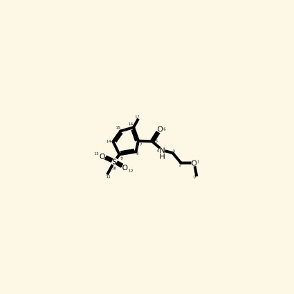 COCCNC(=O)c1cc(S(C)(=O)=O)ccc1C